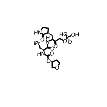 CC(C)C[C@H](NC(=O)O[C@@H]1CCOC1)C(=O)N[C@@H](C[C@@H]1CCNC1=O)C(=O)COP(=O)(O)O